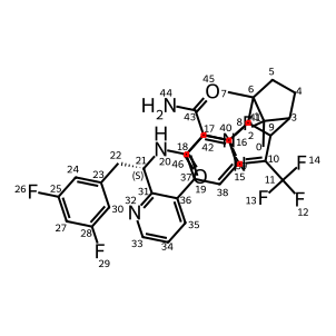 CC1(C)C2CCC1(C)C1C2C(C(F)(F)F)=NN1CC(=O)N[C@@H](Cc1cc(F)cc(F)c1)c1ncccc1-c1ccc(F)c(C(N)=O)c1